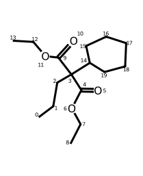 CCCC(C(=O)OCC)(C(=O)OCC)C1CCCCC1